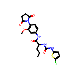 CCCC(NC(=O)Nc1ccc(Cl)s1)C(=O)Nc1ccc(N2C(=O)CCC2=O)c(OC)c1